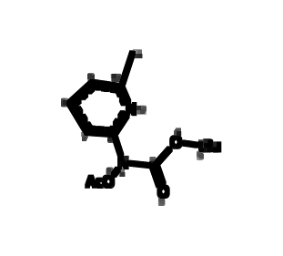 CC(=O)ON(C(=O)OC(C)(C)C)c1cccc(C)n1